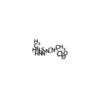 CCNC1NN=C(N2CCN(C(C)c3ccc4c(c3)OCO4)CC2)S1